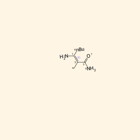 CCCC/C(N)=C(/C)C(N)=O